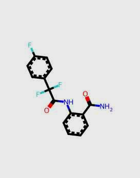 NC(=O)c1ccccc1NC(=O)C(F)(F)c1ccc(F)cc1